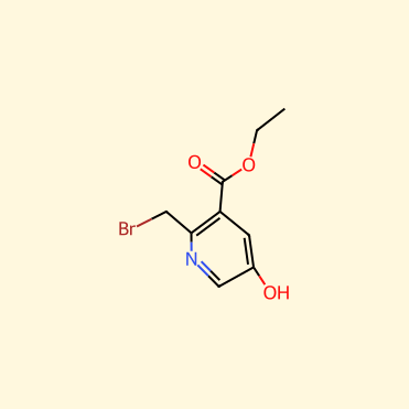 CCOC(=O)c1cc(O)cnc1CBr